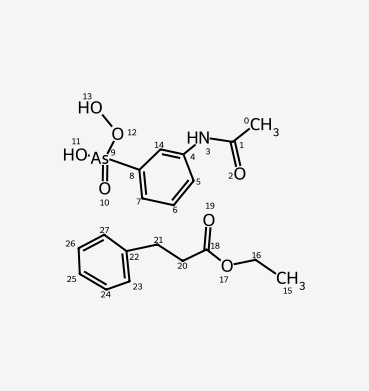 CC(=O)Nc1cccc([As](=O)(O)OO)c1.CCOC(=O)CCc1ccccc1